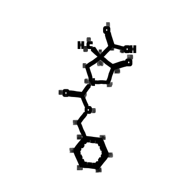 C[C@]1(C(=O)O)CN(C(=O)OCc2ccccc2)CC1=O